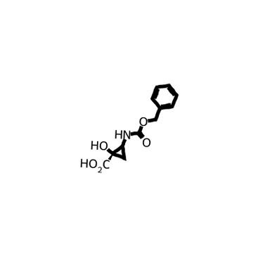 O=C(NC1C[C@@]1(O)C(=O)O)OCc1ccccc1